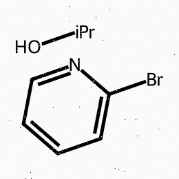 Brc1ccccn1.CC(C)O